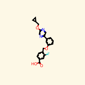 O=C(O)c1ccc(COc2cccc(-c3cnc(OCC4CC4)cn3)c2)c(F)c1